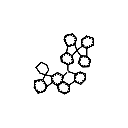 c1ccc(-c2ccccc2N(c2ccc3c(c2)C2(CCCCC2)c2ccccc2-3)c2ccc3c(c2)C2(c4ccccc4-c4ccccc42)c2ccccc2-3)cc1